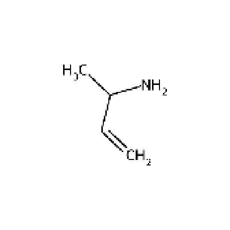 C=CC(C)N